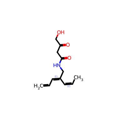 C=C/C=C(\C=C/C)CNC(=O)CC(=O)CO